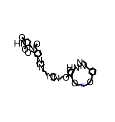 O=C1CCC(N2C(=O)c3ccc(N4CCN(CCCN5CCN(CCOc6ccc7cc6COC/C=C/COCc6cccc(c6)-c6ccnc(n6)N7)CC5)CC4)cc3C2=O)C(=O)N1